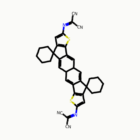 N#CC(C#N)=Nc1cc2c(s1)C1=CC3C=C4C(=CC3C=C1C21CCCCC1)c1sc(N=C(C#N)C#N)cc1C41CCCCC1